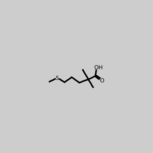 CSCCCC(C)(C)C(=O)O